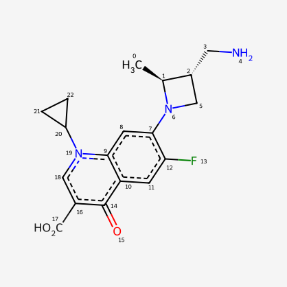 C[C@H]1[C@H](CN)CN1c1cc2c(cc1F)c(=O)c(C(=O)O)cn2C1CC1